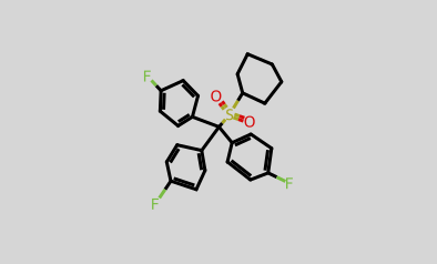 O=S(=O)(C1CCCCC1)C(c1ccc(F)cc1)(c1ccc(F)cc1)c1ccc(F)cc1